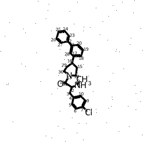 CNC(Cc1ccc(Cl)cc1)C(=O)N1CCC(c2cccc(-c3ccccc3)c2)CC1